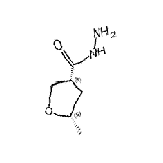 C[C@H]1C[C@@H](C(=O)NN)CO1